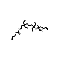 C=CCOC(=O)OCCC(CC)(CC)OCCC(CC)(CC)OC(C)(C=O)OCC=C